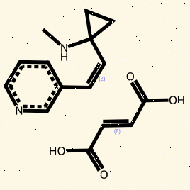 CNC1(/C=C\c2cccnc2)CC1.O=C(O)/C=C/C(=O)O